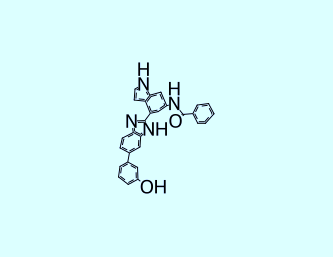 O=C(Nc1cc(-c2nc3ccc(-c4cccc(O)c4)cc3[nH]2)c2cc[nH]c2c1)c1ccccc1